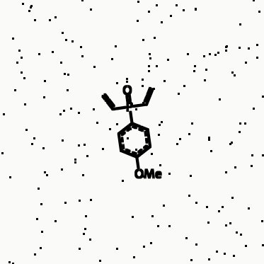 C=CP(=O)(C=C)c1ccc(OC)cc1